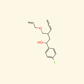 C=C=CC(COCC=C)CC(O)c1ccc(F)cc1